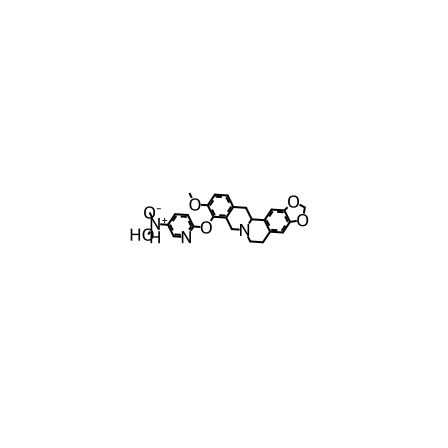 COc1ccc2c(c1Oc1ccc([NH+]([O-])O)cn1)CN1CCc3cc4c(cc3C1C2)OCO4